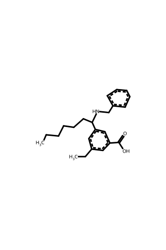 CCCCCCC(NCc1ccccc1)c1cc(CC)cc(C(=O)O)c1